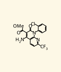 COC(=O)c1c(N)c2ccc(C(F)(F)F)nc2n(-c2ccccc2Cl)c1=O